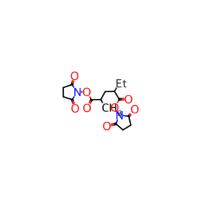 CCC(CC(C)C(=O)ON1C(=O)CCC1=O)C(=O)ON1C(=O)CCC1=O